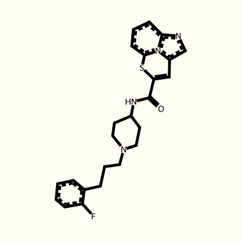 O=C(NC1CCN(CCCc2ccccc2F)CC1)C1=Cc2cnc3cccc(n23)S1